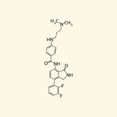 CN(C)CCCNc1ccc(C(=O)Nc2ccc(-c3cccc(F)c3F)c3c2C(=O)NC3)cc1